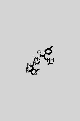 Cc1ccc(C(CNC(C)C)C(=O)N2CCN(c3ncnc4c3C(C)SC4)CC2)cc1